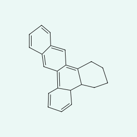 C1=CC2=c3cc4ccccc4cc3=C3CCCCC3C2C=C1